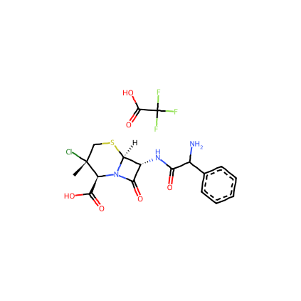 C[C@@]1(Cl)CS[C@H]2[C@H](NC(=O)C(N)c3ccccc3)C(=O)N2[C@H]1C(=O)O.O=C(O)C(F)(F)F